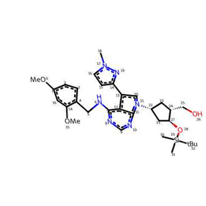 COc1ccc(CNc2ncnc3c2c(-c2ccn(C)n2)cn3[C@@H]2C[C@H](CO)[C@@H](O[Si](C)(C)C(C)(C)C)C2)c(OC)c1